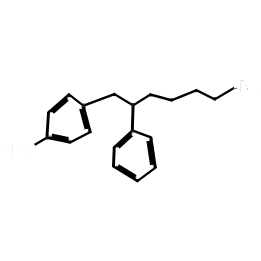 CCC(C)CCCCC(Cc1ccc(C)cc1)c1ccccc1